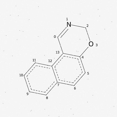 C1=NCOc2ccc3ccccc3c21